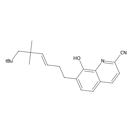 CC(C)(C)CC(C)(C)C=CCCc1ccc2ccc(C#N)nc2c1O